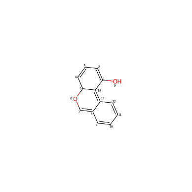 OC1=CC=CC2OC=c3ccccc3=C12